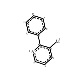 CCc1cccnc1-c1ccccc1